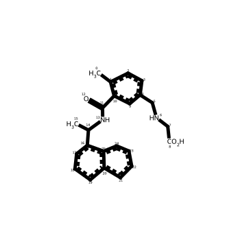 Cc1ccc(CNCC(=O)O)cc1C(=O)NC(C)c1cccc2ccccc12